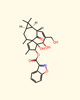 CC1=CC23C(=O)[C@@H](C=C(CO)[C@@H](O)[C@]2(O)[C@H]1OC(=O)c1noc2ccccc12)[C@H]1[C@@H](CC3C)C1(C)C